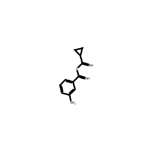 N=C(SC(=N)C1CC1)c1cccc(N)c1